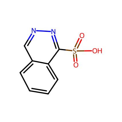 O=S(=O)(O)c1nncc2ccccc12